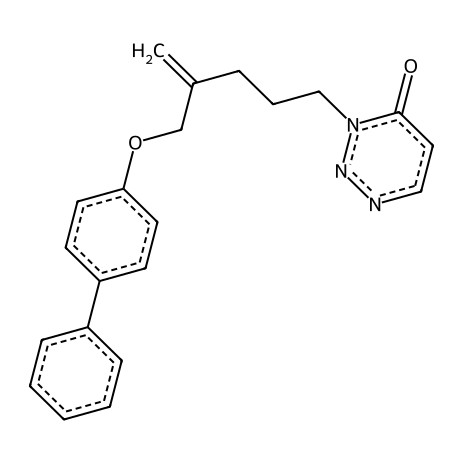 C=C(CCCn1nnccc1=O)COc1ccc(-c2ccccc2)cc1